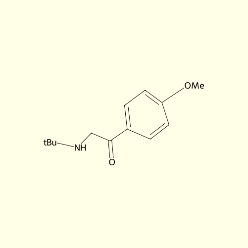 COc1ccc(C(=O)CNC(C)(C)C)cc1